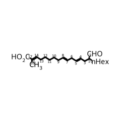 CCCCCCC(C=O)CC=CCC=CCCCCCC=C(C)C(=O)O